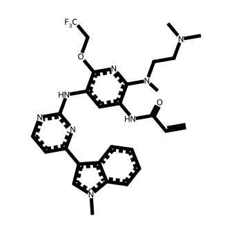 C=CC(=O)Nc1cc(Nc2nccc(-c3cn(C)c4ccccc34)n2)c(OCC(F)(F)F)nc1N(C)CCN(C)C